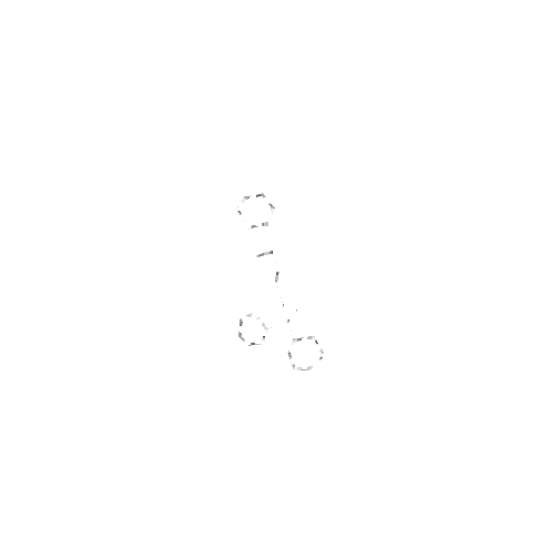 O=C(C=CC1CC1(c1ccccc1)c1ccccc1)Oc1ccc(Br)cc1